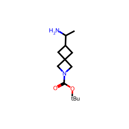 CC(N)C1CC2(C1)CN(C(=O)OC(C)(C)C)C2